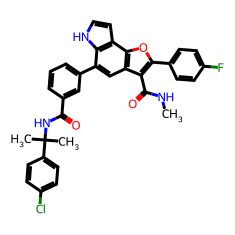 CNC(=O)c1c(-c2ccc(F)cc2)oc2c1cc(-c1cccc(C(=O)NC(C)(C)c3ccc(Cl)cc3)c1)c1[nH]ccc12